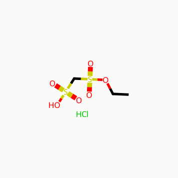 CCOS(=O)(=O)CS(=O)(=O)O.Cl